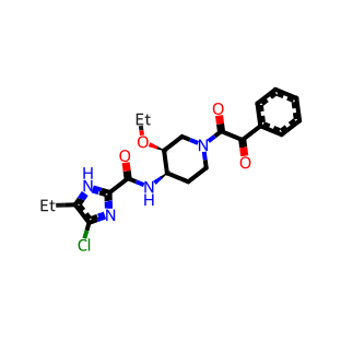 CCO[C@H]1CN(C(=O)C(=O)c2ccccc2)CC[C@H]1NC(=O)c1nc(Cl)c(CC)[nH]1